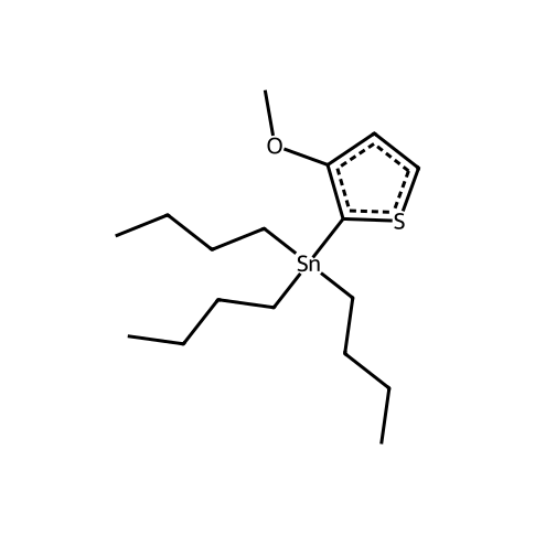 CCC[CH2][Sn]([CH2]CCC)([CH2]CCC)[c]1sccc1OC